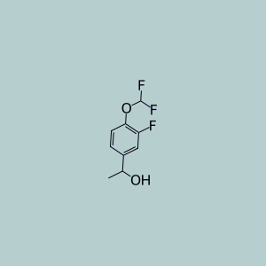 CC(O)c1ccc(OC(F)F)c(F)c1